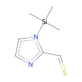 C[Si](C)(C)n1ccnc1C=S